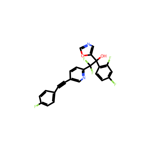 OC(c1cnco1)(c1ccc(F)cc1F)C(F)(F)c1ccc(C#Cc2ccc(F)cc2)cn1